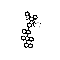 CC1(C)c2cc(-c3ccc(-c4c5ccccc5c(-c5cccc6ccccc56)c5ccccc45)c4ccccc34)ccc2-c2c1c1ccccc1c1c2oc2ccccc21